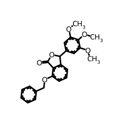 COc1cc(C2OC(=O)c3c(OCc4ccccc4)cccc32)cc(OC)c1OC